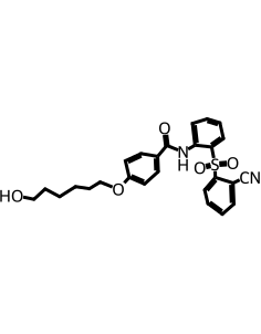 N#Cc1ccccc1S(=O)(=O)c1ccccc1NC(=O)c1ccc(OCCCCCCO)cc1